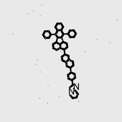 c1ccc(-c2c3c(c(-c4ccccc4)c4ccccc24)-c2ccc(-c4ccc5cc(-c6ccc(-c7cn8ccccc8n7)cc6)ccc5c4)c4cccc-3c24)cc1